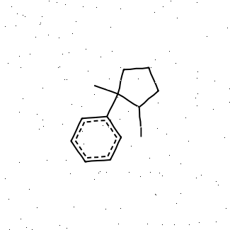 CC1(c2ccccc2)CCCC1I